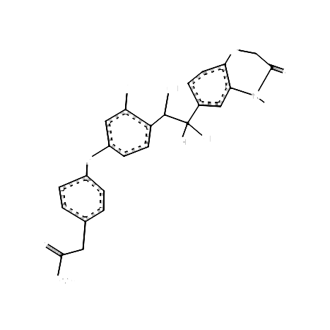 COC(=O)Cc1ccc(Oc2ccc(C(C)C(O)(c3ccc4c(c3)N(C)C(=O)CO4)C(F)(F)F)c(Cl)c2)cc1